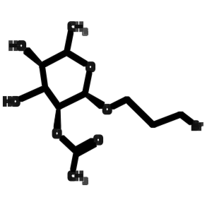 CC(=O)O[C@H]1C(O)[C@@H](O)C(C)O[C@H]1OCCCBr